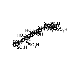 Nc1c(N=Nc2ccc3c(O)c(N=Nc4ccc5c(O)c(N=Nc6ccc(N=Nc7cc(S(=O)(=O)O)c8cccc(S(=O)(=O)O)c8c7)cc6OCCCS(=O)(=O)O)c(S(=O)(=O)O)cc5c4S(=O)(=O)O)c(S(=O)(=O)O)cc3c2S(=O)(=O)O)cc(S(=O)(=O)O)c2cc(S(=O)(=O)O)c(N=Nc3ccc(S(=O)(=O)O)cc3[N+](=O)[O-])c(O)c12